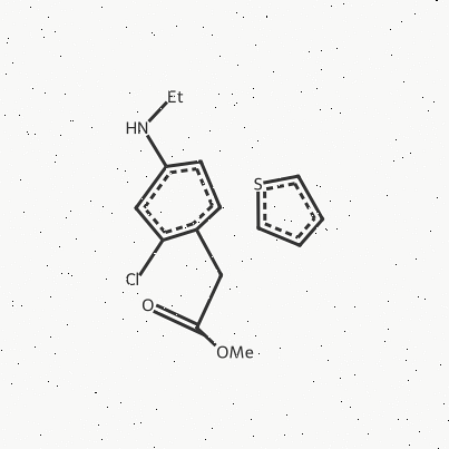 CCNc1ccc(CC(=O)OC)c(Cl)c1.c1ccsc1